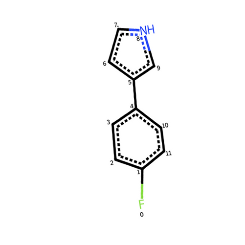 Fc1ccc(-c2c[c][nH]c2)cc1